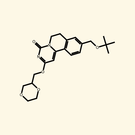 CC(C)(C)OCc1ccc2c(c1)CCn1c-2cc(OCC2COCCO2)nc1=O